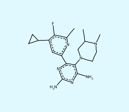 Cc1nc(-c2nc(N)nc(N)c2N2CCN(C)C(C)C2)cc(C2CC2)c1F